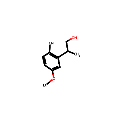 CCOc1ccc(C#N)c([C](C)CO)c1